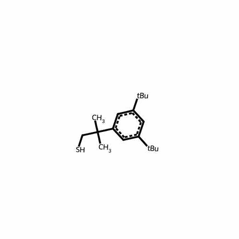 CC(C)(C)c1cc(C(C)(C)C)cc(C(C)(C)CS)c1